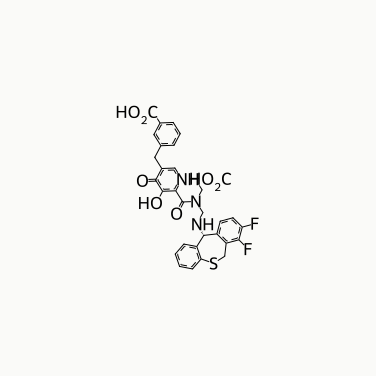 O=C(O)CN(CN[C@H]1c2ccccc2SCc2c1ccc(F)c2F)C(=O)c1[nH]cc(Cc2cccc(C(=O)O)c2)c(=O)c1O